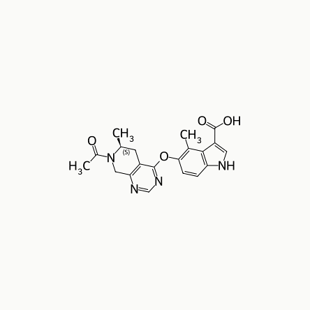 CC(=O)N1Cc2ncnc(Oc3ccc4[nH]cc(C(=O)O)c4c3C)c2C[C@@H]1C